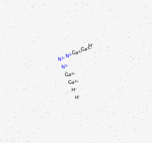 [Ga+3].[Ga+3].[Ga+3].[Ga+3].[H-].[H-].[H-].[N-3].[N-3].[N-3]